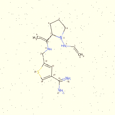 C=CNN1CCCC1C(=C)NCc1cc(C(=N)N)cs1